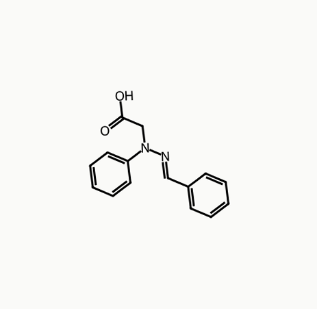 O=C(O)CN(N=Cc1ccccc1)c1ccccc1